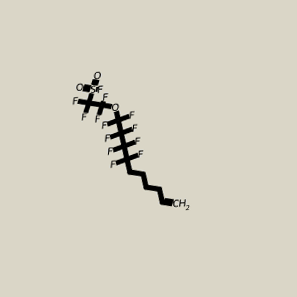 C=CCCCCC(F)(F)C(F)(F)C(F)(F)C(F)(F)OC(F)(F)C(F)(F)S(=O)(=O)F